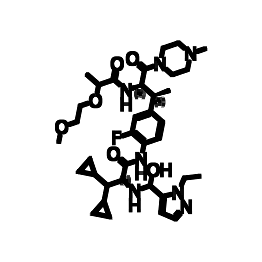 CCn1nccc1C(O)N[C@H](C(=O)Nc1ccc([C@H](C)[C@@H](NC(=O)C(C)OCCOC)C(=O)N2CCN(C)CC2)cc1F)C(C1CC1)C1CC1